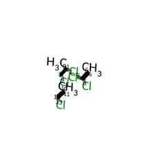 CC(Cl)CCl.CC=C(Cl)Cl.CC=CCl